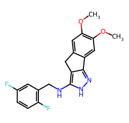 COc1cc2c(cc1OC)-c1n[nH]c(NCc3cc(F)ccc3F)c1C2